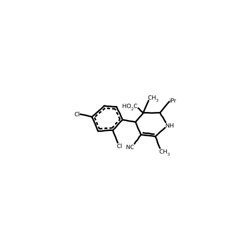 CC1=C(C#N)C(c2ccc(Cl)cc2Cl)C(C)(C(=O)O)C(C(C)C)N1